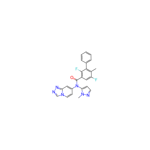 Cc1c(F)cc(C(=O)N(c2ccn3cnnc3c2)c2ccnn2C)c(F)c1-c1ccccc1